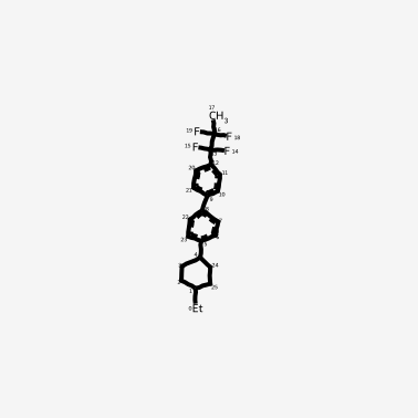 CCC1CCC(c2ccc(-c3ccc(C(F)(F)C(C)(F)F)cc3)cc2)CC1